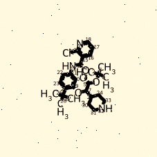 CC(C)(C)OC(=O)C(Oc1cc(NC(=O)c2cccnc2Cl)ccc1C(C)(C)C)C1CCNCC1